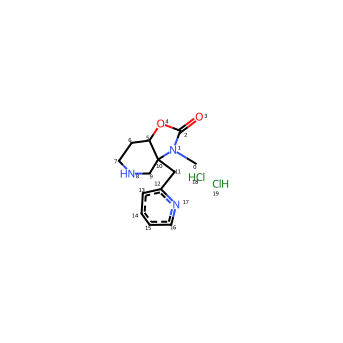 CN1C(=O)OC2CCNCC21Cc1ccccn1.Cl.Cl